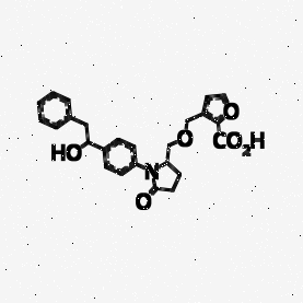 O=C(O)c1occc1COCC1CCC(=O)N1c1ccc(C(O)Cc2ccccc2)cc1